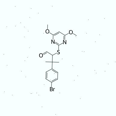 COc1cc(OC)nc(SC(C=O)C(C)(C)c2ccc(Br)cc2)n1